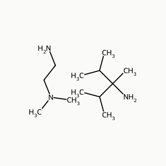 CC(C)C(C)(N)C(C)C.CN(C)CCN